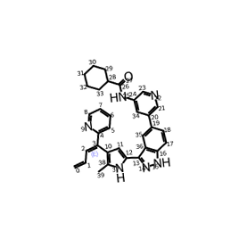 C=C/C=C(/c1ccccn1)c1cc(-c2n[nH]c3ccc(-c4cncc(NC(=O)C5CCCCC5)c4)cc23)[nH]c1C